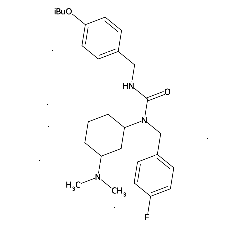 CC(C)COc1ccc(CNC(=O)N(Cc2ccc(F)cc2)C2CCCC(N(C)C)C2)cc1